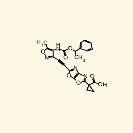 Cc1onc(C#Cc2nc3nc(C4(C(=O)O)CC4)oc3o2)c1NC(=O)OC(C)c1ccccc1